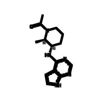 CC(=O)N1CCC[C@H](Nc2ncnc3[nH]ccc23)[C@H]1C